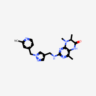 Cc1nc(NCc2cnn(Cc3ccnc(C#N)c3)c2)nc2c1NC(=O)C(C)N2C